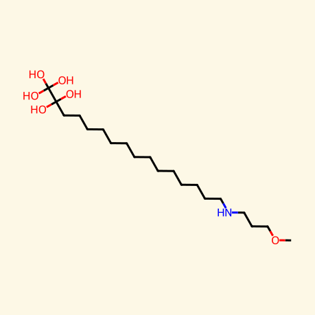 COCCCNCCCCCCCCCCCCCCC(O)(O)C(O)(O)O